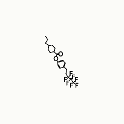 CCCC1CCC(C(=O)Oc2ccc(CCC(F)(F)C(F)(F)C(F)(F)F)cc2)CC1